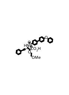 COCCO[C@@H](C(=O)O)[C@H](C#Cc1ccccc1)NS(=O)(=O)c1ccc(-c2ccc(Oc3ccccc3)cc2)cc1